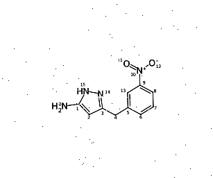 Nc1cc(Cc2cccc([N+](=O)[O-])c2)n[nH]1